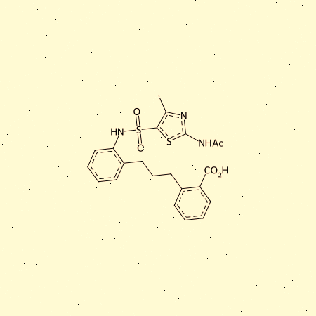 CC(=O)Nc1nc(C)c(S(=O)(=O)Nc2ccccc2CCCc2ccccc2C(=O)O)s1